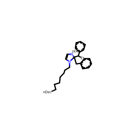 CCCCCCCCCCCCCCCCCN1C=CN(CCCCCCCCCC)C1(Cc1ccccc1)C(CC)c1ccccc1